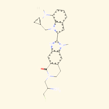 CN(C)c1cccc2cc(-c3nc4cc5c(cc4n3C)CCN(CC(N)CF)C5=O)n(CC3CC3)c12